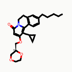 CCCCCc1ccc2c(c1)CCn1c-2c(C2CC2)c(OC[C@@H]2COCCO2)cc1=O